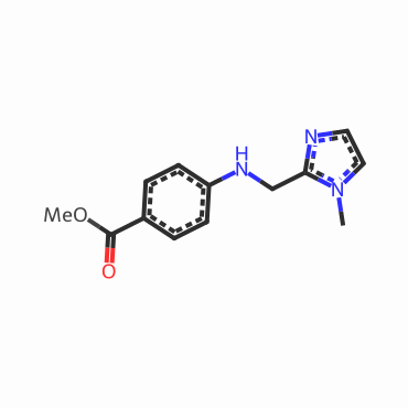 COC(=O)c1ccc(NCc2nccn2C)cc1